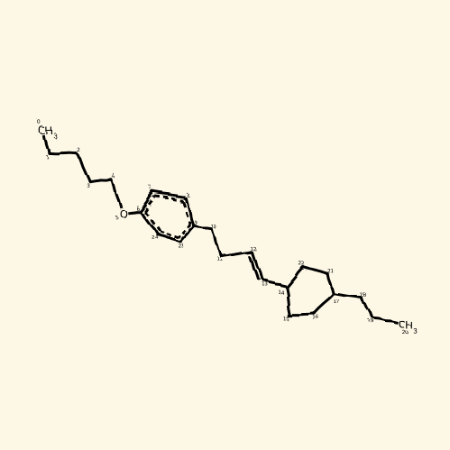 CCCCCOc1ccc(CCC=CC2CCC(CCC)CC2)cc1